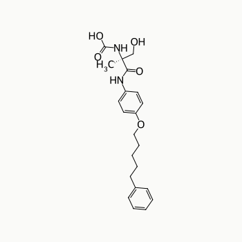 C[C@@](CO)(NC(=O)O)C(=O)Nc1ccc(OCCCCCc2ccccc2)cc1